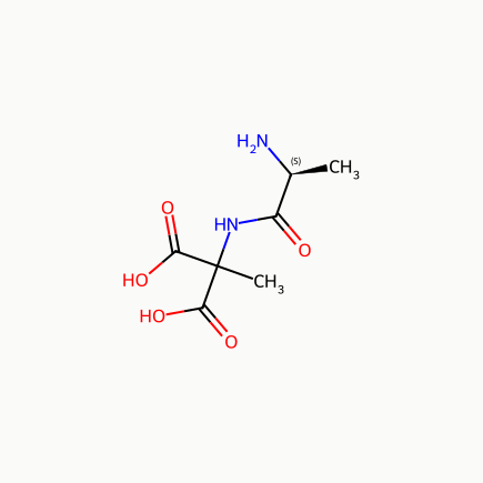 C[C@H](N)C(=O)NC(C)(C(=O)O)C(=O)O